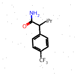 CC(C)C(C(N)=O)c1ccc(C(F)(F)F)cc1